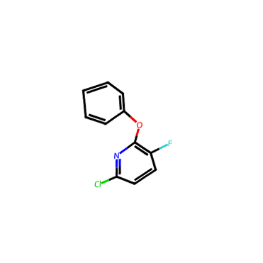 Fc1ccc(Cl)nc1Oc1ccccc1